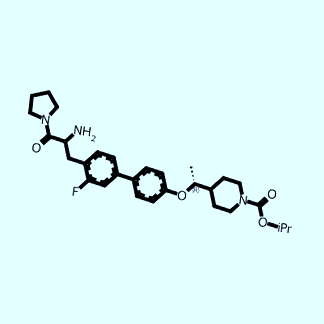 CC(C)OC(=O)N1CCC([C@@H](C)Oc2ccc(-c3ccc(CC(N)C(=O)N4CCCC4)c(F)c3)cc2)CC1